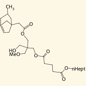 CCCCCCCOC(=O)CCCC(=O)OCC(CO)(COC)COC(=O)CC12CC=C(CC(C)C1)C2